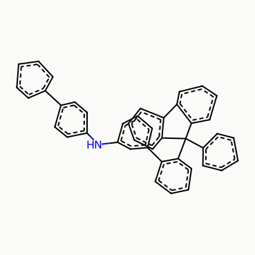 c1ccc(-c2ccc(Nc3cccc(-c4ccccc4C4(c5ccccc5)c5ccccc5-c5ccccc54)c3)cc2)cc1